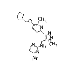 Cc1nc(-c2nnn(C)c2CNc2nccc(C(C)C)n2)ccc1OCC1CCCC1